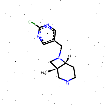 C[C@]12CNCC[C@H]1N(Cc1cnc(Cl)nc1)C2